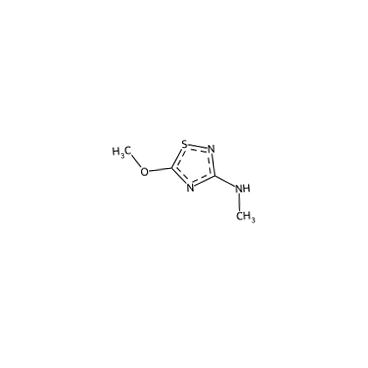 CNc1nsc(OC)n1